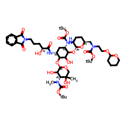 CN(C(=O)OC(C)(C)C)[C@@H]1C(O)[C@@H](OC2C(O)C(O[C@H]3O[C@H](CN(CCOC4CCCCO4)C(=O)OC(C)(C)C)CCC3N)[C@@H](NC(=O)OC(C)(C)C)C[C@H]2NC(=O)[C@@H](O)CCCN2C(=O)c3ccccc3C2=O)OCC1(C)O